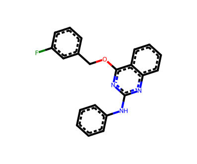 Fc1cccc(COc2nc(Nc3ccccc3)nc3ccccc23)c1